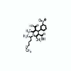 COCCCC(C)N1C(C)=C(C(=O)O)C(c2cccc([N+](=O)[O-])c2)C(C(=O)O)=C1C